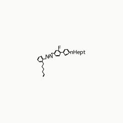 C=CCCCCc1ccccc1C=NN=Cc1ccc(-c2ccc(CCCCCCC)cc2)c(F)c1